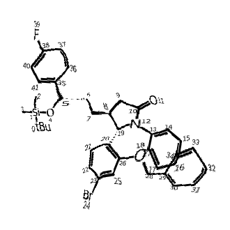 CC(C)(C)[Si](C)(C)O[C@@H](CC[C@H]1CC(=O)N(c2ccccc2)[C@@H]1c1ccc(Br)cc1OCc1ccccc1)c1ccc(F)cc1